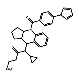 O=C(O)CCC(=O)N(C1CC1)C1c2ccccc2N(C(=O)c2ccc(-n3cccn3)cc2)C2CCCC21